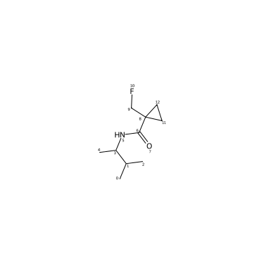 CC(C)C(C)NC(=O)C1(CF)CC1